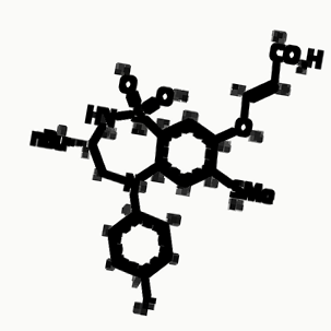 CCCC[C@H]1CN(c2ccc(F)cc2)c2cc(SC)c(O/C=C/C(=O)O)cc2S(=O)(=O)N1